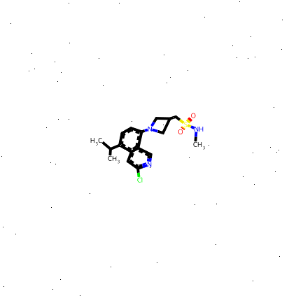 CNS(=O)(=O)CC1CN(c2ccc(C(C)C)c3cc(Cl)ncc23)C1